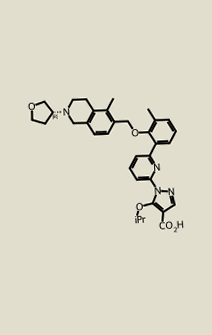 Cc1cccc(-c2cccc(-n3ncc(C(=O)O)c3OC(C)C)n2)c1OCc1ccc2c(c1C)CCN([C@@H]1CCOC1)C2